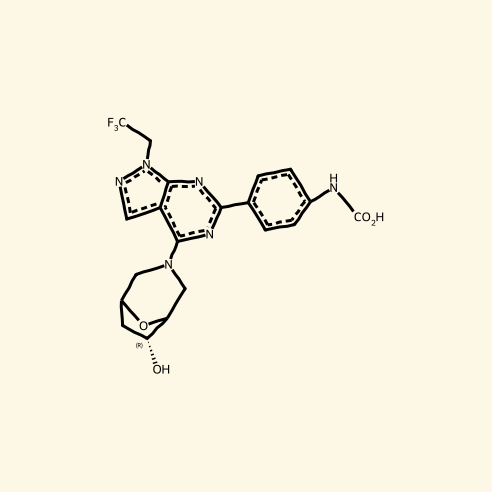 O=C(O)Nc1ccc(-c2nc(N3CC4C[C@@H](O)C(C3)O4)c3cnn(CC(F)(F)F)c3n2)cc1